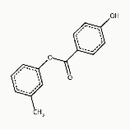 Cc1cccc(OC(=O)c2ccc(O)cc2)c1